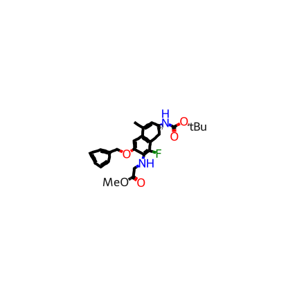 COC(=O)CNc1c(OCc2ccccc2)cc2c(c1F)C[C@H](NC(=O)OC(C)(C)C)C=C2C